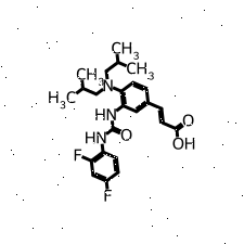 CC(C)CN(CC(C)C)c1ccc(/C=C/C(=O)O)cc1NC(=O)Nc1ccc(F)cc1F